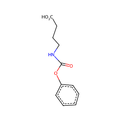 O=C(O)CCCNC(=O)Oc1ccccc1